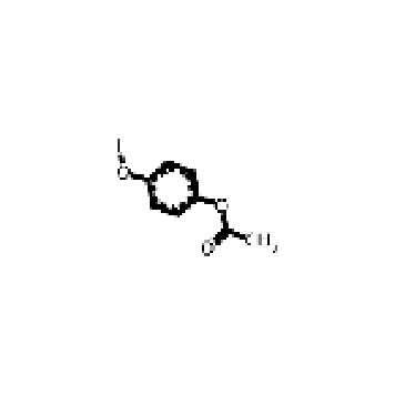 CC(=O)Oc1ccc(OI)cc1